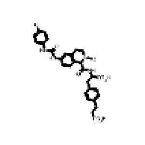 CC(=O)N1CCc2cc(NC(=O)Nc3ccc(Cl)cc3)ccc2C1C(=O)NC(Cc1ccc(CCC(=O)O)cc1)C(=O)O